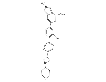 COc1cc(-c2ccc(-c3ccc(C4CN(C5CCOCC5)C4)nn3)c(O)c2)cc2cn(C)nc12